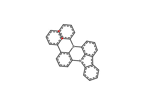 c1ccc(B2c3c(-c4ccccc4)cccc3-n3c4ccccc4c4cccc2c43)cc1